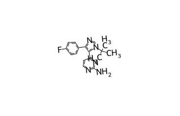 CC(C)(C)n1cnc(-c2ccc(F)cc2)c1-c1ccnc(N)n1